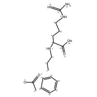 CC(=O)Cl.CCCNC(CCCNC(=N)N)C(=O)O.c1ccccc1